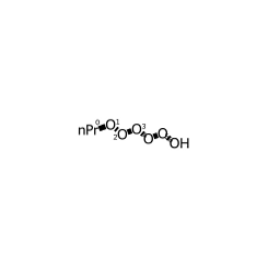 CCCOOOOOO